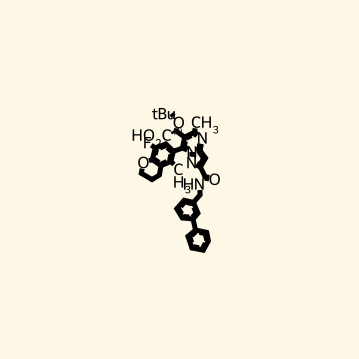 Cc1nc2cc(C(=O)NCc3cccc(-c4ccccc4)c3)nn2c(-c2cc(F)c3c(c2C)CCCO3)c1[C@H](OC(C)(C)C)C(=O)O